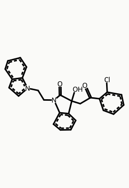 O=C(CC1(O)C(=O)N(CCn2ccc3ccccc32)c2ccccc21)c1ccccc1Cl